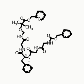 CC(C)(OCNC(=O)CNC(=O)[C@H](Cc1ccccc1)NC(=O)CNC(=O)CNC(=O)OCc1ccccc1)C(=O)OCc1ccccc1